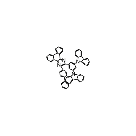 c1ccc(-c2ccc(-c3nc4c5ccccc5c5ccccc5c4nc3-c3cc(-n4c5ccccc5c5ccccc54)cc(-n4c5ccccc5c5ccccc54)c3)cc2)cc1